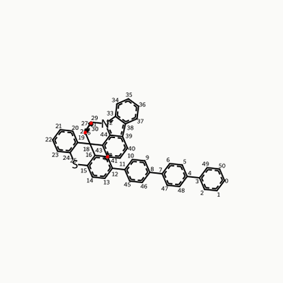 c1ccc(-c2ccc(-c3ccc(-c4ccc5c(c4)C4(c6ccccc6S5)c5ccccc5-n5c6ccccc6c6cccc4c65)cc3)cc2)cc1